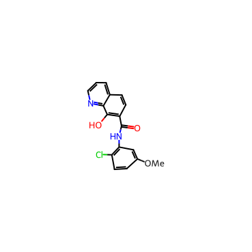 COc1ccc(Cl)c(NC(=O)c2ccc3cccnc3c2O)c1